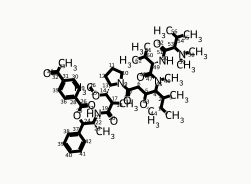 CCC(C)C(C(CC(=O)N1CCC[C@H]1C(OC)C(C)C(=O)N[C@H](C)C(OC(=O)c1ccc(C(C)=O)cc1)c1ccccc1)OC)N(C)C(=O)[C@@H](NC(=O)C(C(C)C)N(C)C)C(C)C